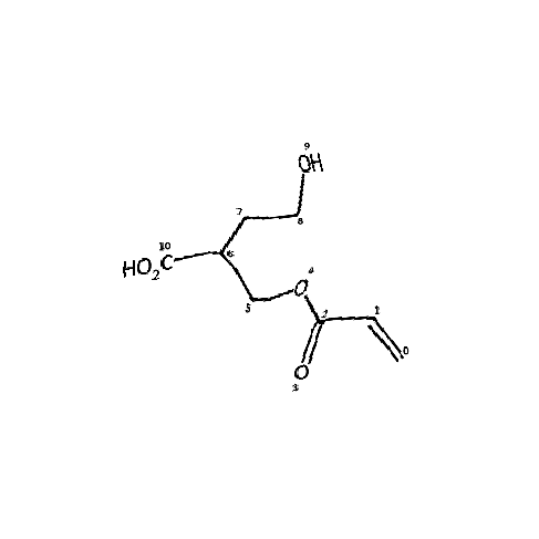 C=CC(=O)OCC(CCO)C(=O)O